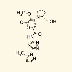 COc1c(N2CCC[C@@H]2CO)cc(C(=O)Nc2nnc(-n3nccc3C)s2)oc1=O